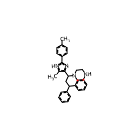 Cc1ccc(-c2nc(C(CC(c3ccccc3)c3ccccc3)N3CCNCC3)c(C)[nH]2)cc1